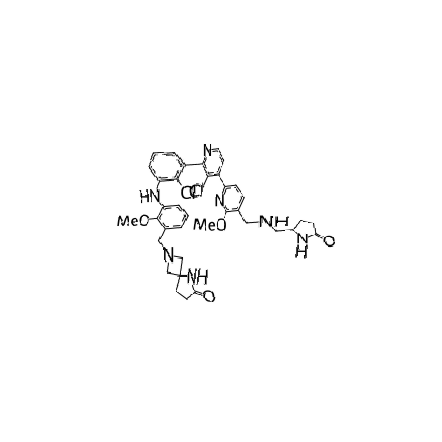 COc1nc(-c2ccnc(-c3cccc(Nc4cccc(CN5CC6(CCC(=O)N6)C5)c4OC)c3Cl)c2Cl)ccc1CNCC1CCC(=O)N1